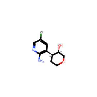 Nc1ncc(Cl)cc1[C@@H]1CCOC[C@@H]1O